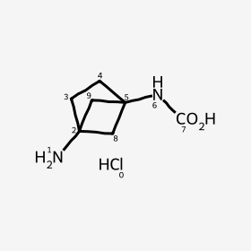 Cl.NC12CCC(NC(=O)O)(C1)C2